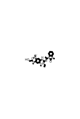 C=C/N=C(\N=C(/C)n1c(=O)n(C)c2ccccc21)Nc1cc([N+](=O)[O-])c(N(C)CCO)cc1OC